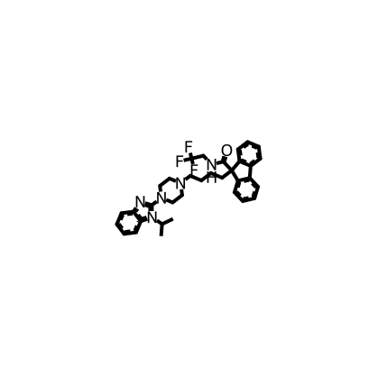 CC(C)n1c(N2CCN(CCCCC3(C(=O)NCC(F)(F)F)c4ccccc4-c4ccccc43)CC2)nc2ccccc21